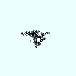 Cc1nc(-c2ccc(C(C)(C)C)cc2)nc(C)c1C(=O)NC(CCN)C(=O)N(C)C1C(=O)NC(C)C(=O)NC(C(=O)NCC#N)Cc2ccc(O)c(c2)-c2cc1ccc2OCCNCCN